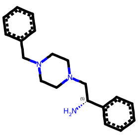 N[C@H](CN1CCN(Cc2ccccc2)CC1)c1ccccc1